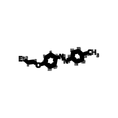 CCC=COc1ccc(N=Nc2ccc(C)cc2)cc1